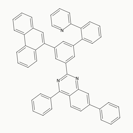 c1ccc(-c2ccc3c(-c4ccccc4)nc(-c4cc(-c5ccccc5-c5ccccn5)cc(-c5cc6ccccc6c6ccccc56)c4)nc3c2)cc1